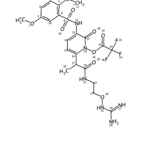 COc1ccc(OC)c(S(=O)(=O)Nc2ccc(C(C)C(=O)NCCONC(=N)N)n(OC(=O)C(F)(F)F)c2=O)c1